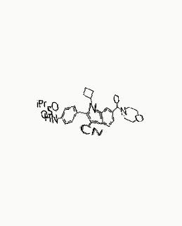 CC(C)S(=O)(=O)Nc1ccc(-c2c(C#N)c3ccc(C(=O)N4CCOCC4)cc3n2C2CCC2)cc1